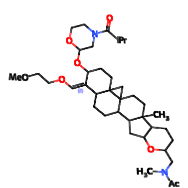 COCCO/C=C1\C(OC2CN(C(=O)C(C)C)CCO2)CCC23CC24CCC2(C)C5CCC(CN(C)C(C)=O)OC5CC2C4CCC13